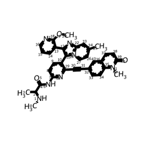 CNC(C)C(=O)Nc1ccc(-c2c(-c3cccnc3OC)nc3cc(C)ccn23)c(C#Cc2ccc3c(ccc(=O)n3C)c2)n1